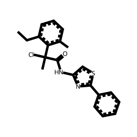 CCc1cccc(C)c1C(C)(Cl)C(=O)Nc1csc(-c2ccccc2)n1